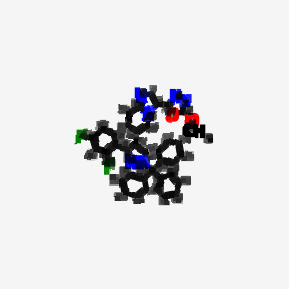 COc1nnc(-c2cnc3ccc(-c4cn(C(c5ccccc5)(c5ccccc5)c5ccccc5)nc4-c4ccc(F)cc4F)cn23)o1